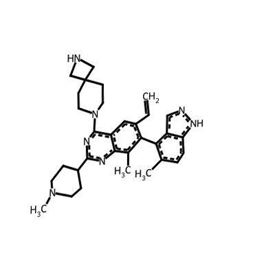 C=Cc1cc2c(N3CCC4(CC3)CNC4)nc(C3CCN(C)CC3)nc2c(C)c1-c1c(C)ccc2[nH]ncc12